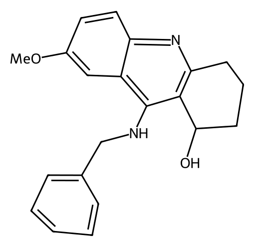 COc1ccc2nc3c(c(NCc4ccccc4)c2c1)C(O)CCC3